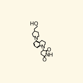 O=C1CCC(N2CCCc3c(N4CCC(CCO)CC4)cccc32)C(=O)N1